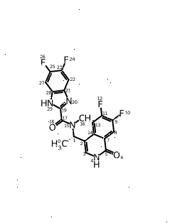 C[C@@H](c1c[nH]c(=O)c2cc(F)c(F)cc12)N(C)C(=O)c1nc2cc(F)c(F)cc2[nH]1